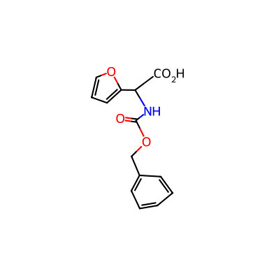 O=C(NC(C(=O)O)c1ccco1)OCc1ccccc1